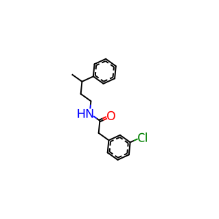 CC(CCNC(=O)Cc1cccc(Cl)c1)c1ccccc1